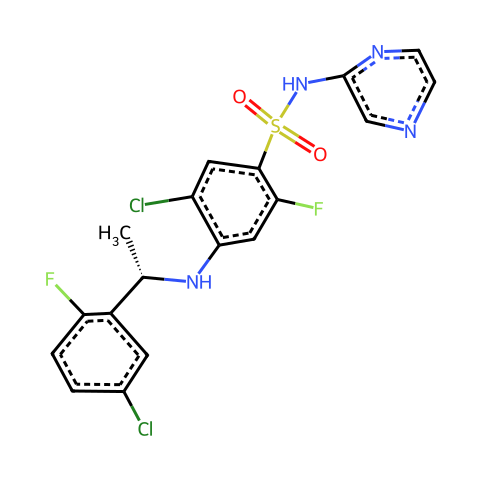 C[C@H](Nc1cc(F)c(S(=O)(=O)Nc2cnccn2)cc1Cl)c1cc(Cl)ccc1F